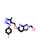 Cc1nnn(-c2ccc(F)cc2)c1COc1ccc2c(n1)CN(C=O)C2